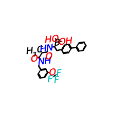 CC(C(=O)NCc1cccc(OC(F)(F)F)c1)C(=O)NC(Cc1ccc(-c2ccccc2)cc1)B(O)O